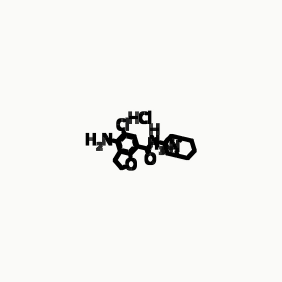 CN1C2CCCC1CC(NC(=O)c1cc(Cl)c(N)c3c1OCC3)C2.Cl